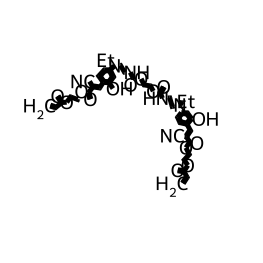 C=CC(=O)OCCOC(=O)/C(C#N)=C/c1ccc(N(CC)CCNC(=O)OCCOC(=O)NCCN(CC)c2ccc(/C=C(\C#N)C(=O)OCCOC(=O)C=C)c(O)c2)cc1O